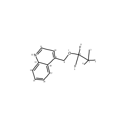 CC(C)(C)C(F)(F)OCc1ccnc2ccccc12